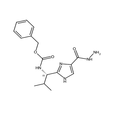 CC(C)[C@H](NC(=O)OCc1ccccc1)c1nc(C(=O)NN)c[nH]1